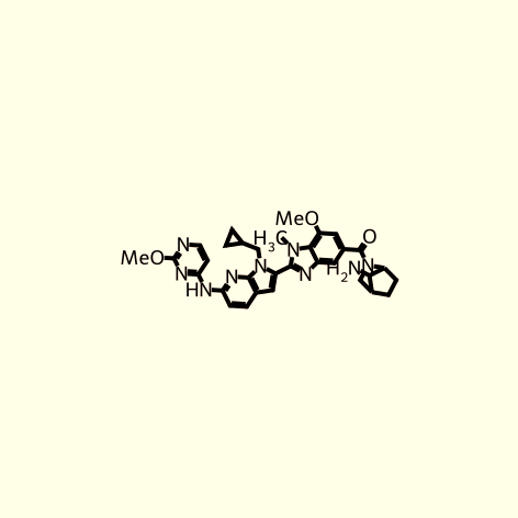 COc1nccc(Nc2ccc3cc(-c4nc5cc(C(=O)N6CC7CCC6C7N)cc(OC)c5n4C)n(CC4CC4)c3n2)n1